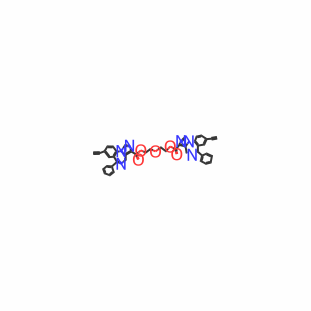 C#Cc1ccc2c(c1)C(c1ccccc1)=NCc1c(C(=O)OCCOCCOC(=O)c3ncn4c3CN=C(c3ccccc3)c3cc(C#C)ccc3-4)ncn1-2